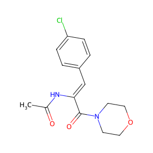 CC(=O)NC(=Cc1ccc(Cl)cc1)C(=O)N1CCOCC1